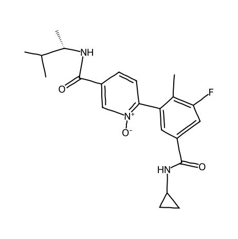 Cc1c(F)cc(C(=O)NC2CC2)cc1-c1ccc(C(=O)N[C@@H](C)C(C)C)c[n+]1[O-]